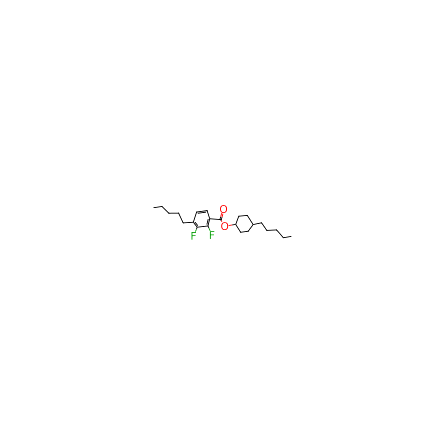 CCCCCc1ccc(C(=O)OC2CCC(CCCCC)CC2)c(F)c1F